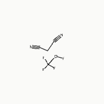 FOC(F)(F)F.N#CCC#N